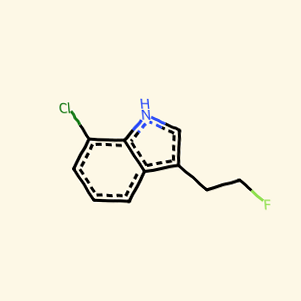 FCCc1c[nH]c2c(Cl)cccc12